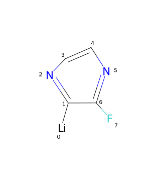 [Li][c]1nccnc1F